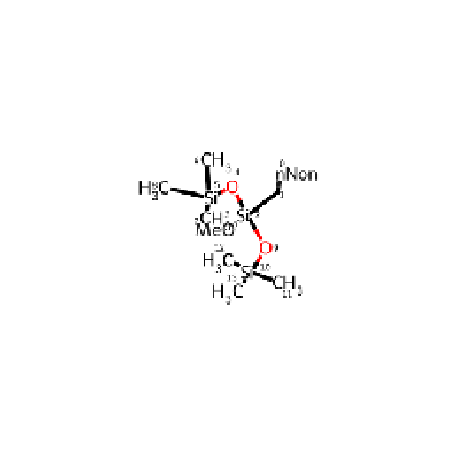 CCCCCCCCCC[Si](OC)(O[Si](C)(C)C)O[Si](C)(C)C